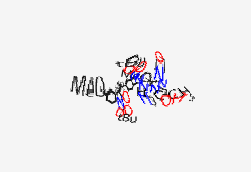 COc1ccc2c(c1)[C@]1(C[C@H]1c1ccc3c(Nc4nc(CC(C)(C)O)nc(N5CCOCC5)c4OC)nn(C(=O)OC(C)(C)C)c3c1)C(=O)N2C(=O)OC(C)(C)C